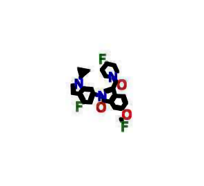 O=C(c1cn(-c2cc(F)c3ccn(C4CC4)c3c2)c(=O)c2cc(OCF)ccc12)N1CCC(F)CC1